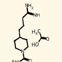 CC(=O)O.N=C(N)CCCC1CCN(C(=O)O)CC1